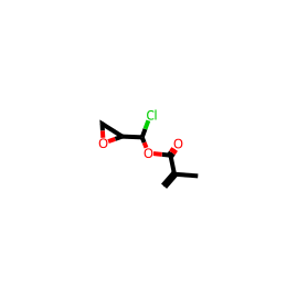 C=C(C)C(=O)OC(Cl)C1CO1